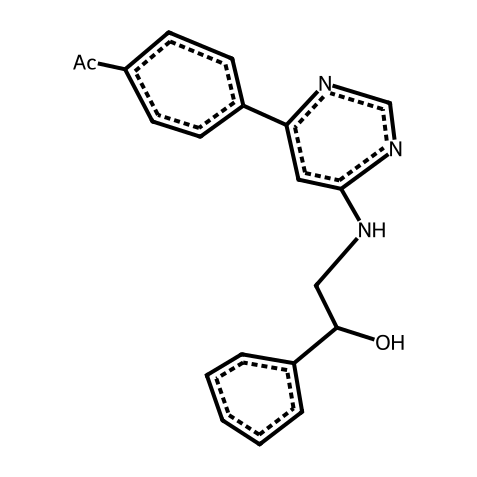 CC(=O)c1ccc(-c2cc(NCC(O)c3ccccc3)ncn2)cc1